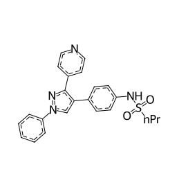 CCCS(=O)(=O)Nc1ccc(-c2cn(-c3ccccc3)nc2-c2ccncc2)cc1